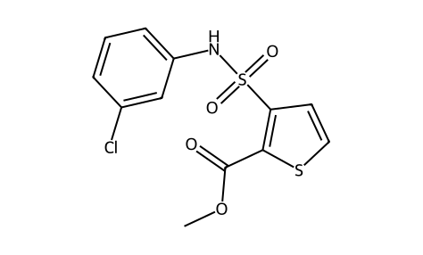 COC(=O)c1sccc1S(=O)(=O)Nc1cccc(Cl)c1